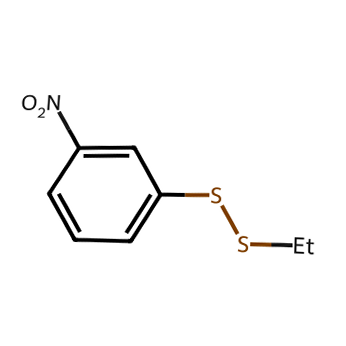 CCSSc1cccc([N+](=O)[O-])c1